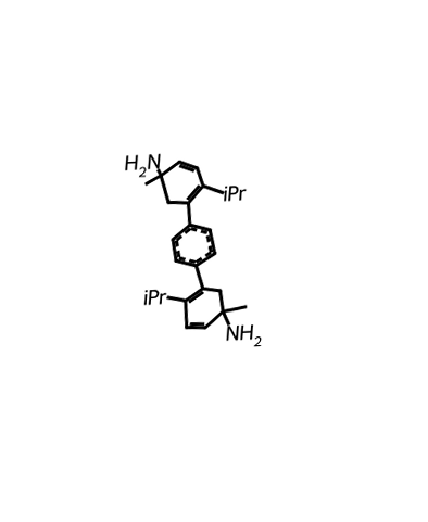 CC(C)C1=C(c2ccc(C3=C(C(C)C)C=CC(C)(N)C3)cc2)CC(C)(N)C=C1